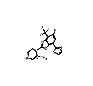 C[C@H]1CNCCN1c1nc2c(C(F)(F)F)c(F)cc(-c3nccs3)c2o1